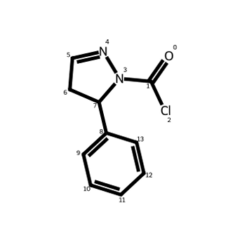 O=C(Cl)N1N=CCC1c1ccccc1